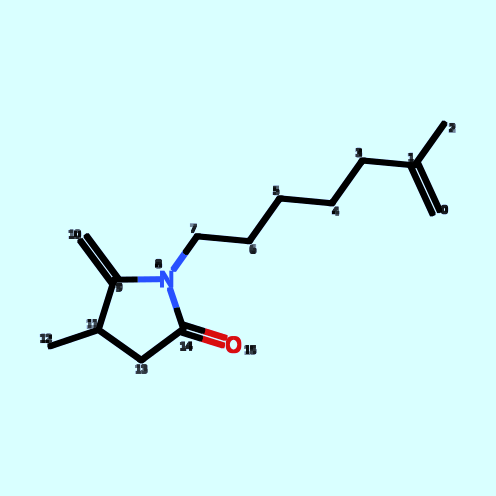 C=C(C)CCCCCN1C(=C)C(C)CC1=O